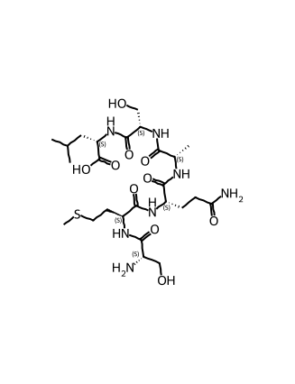 CSCC[C@H](NC(=O)[C@@H](N)CO)C(=O)N[C@@H](CCC(N)=O)C(=O)N[C@@H](C)C(=O)N[C@@H](CO)C(=O)N[C@@H](CC(C)C)C(=O)O